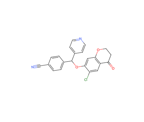 N#Cc1ccc(C(Oc2cc3c(cc2Cl)C(=O)CCO3)c2ccncc2)cc1